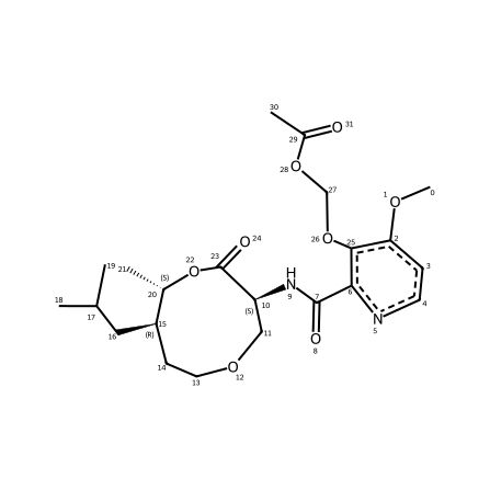 COc1ccnc(C(=O)N[C@H]2COCC[C@@H](CC(C)C)[C@H](C)OC2=O)c1OCOC(C)=O